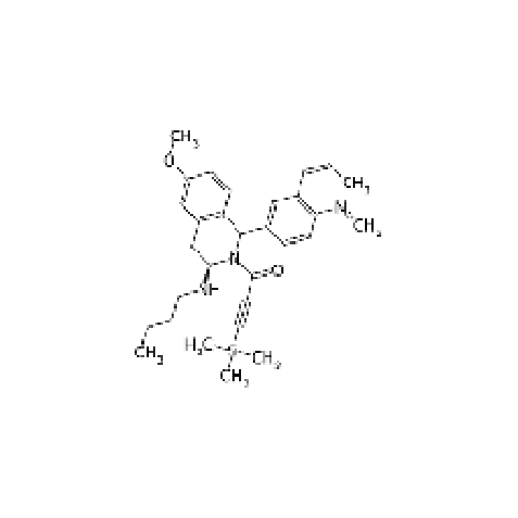 C=Nc1ccc(C2c3ccc(OC)cc3C[C@H](NCCCC)N2C(=O)C#C[Si](C)(C)C)cc1/C=C\C